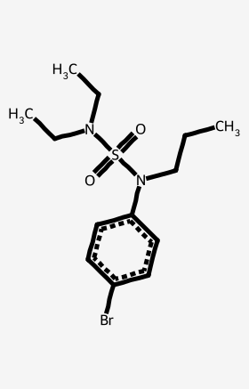 CCCN(c1ccc(Br)cc1)S(=O)(=O)N(CC)CC